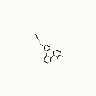 CCC=CCCc1cccc(-c2ccccc2-c2cccc(F)c2F)c1